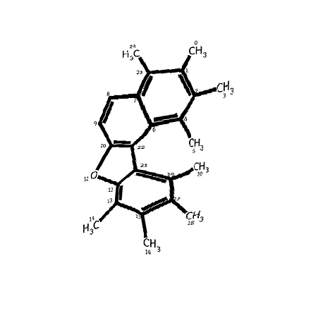 Cc1c(C)c(C)c2c(ccc3oc4c(C)c(C)c(C)c(C)c4c32)c1C